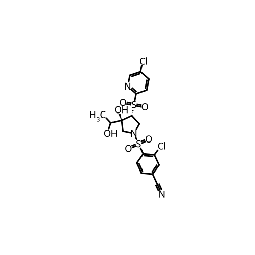 CC(O)[C@@]1(O)CN(S(=O)(=O)c2ccc(C#N)cc2Cl)C[C@H]1S(=O)(=O)c1ccc(Cl)cn1